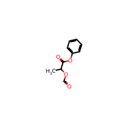 CC(O[C]=O)C(=O)Oc1ccccc1